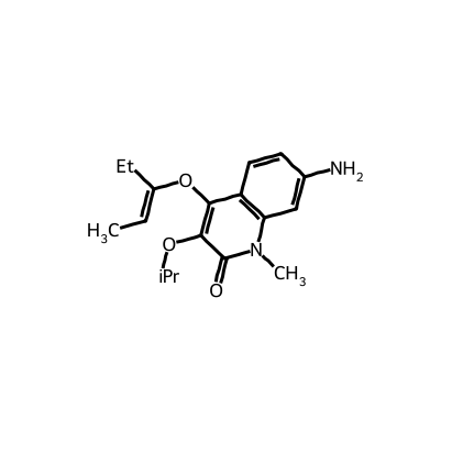 CC=C(CC)Oc1c(OC(C)C)c(=O)n(C)c2cc(N)ccc12